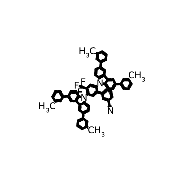 Cc1cccc(-c2ccc3c(c2)c2cc(-c4cccc(C)c4)ccc2n3-c2cc(C(F)(F)F)c(-n3c4ccc(-c5cccc(C)c5)cc4c4cc(-c5cccc(C)c5)ccc43)cc2-c2cccc(C#N)c2)c1